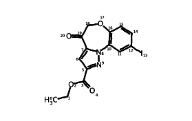 CCOC(=O)c1cc2n(n1)-c1cc(I)ccc1OCC2=O